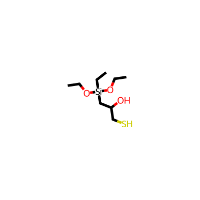 CCO[Si](CC)(CC(O)CS)OCC